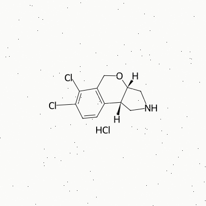 Cl.Clc1ccc2c(c1Cl)CO[C@@H]1CNC[C@H]21